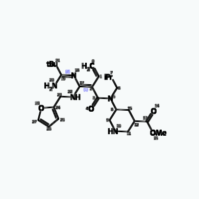 C=C/C(C(=O)N(CC(C)C)C1CNCC(C(=O)OC)C1)=C(\N=C(/N)C(C)(C)C)NCc1ccco1